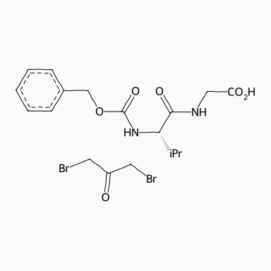 CC(C)[C@H](NC(=O)OCc1ccccc1)C(=O)NCC(=O)O.O=C(CBr)CBr